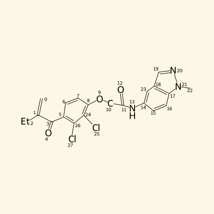 C=C(CC)C(=O)c1ccc(OCC(=O)Nc2ccc3c(cnn3C)c2)c(Cl)c1Cl